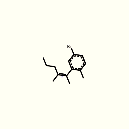 CCC/C(C)=C(/C)c1cc(Br)ccc1C